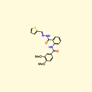 COc1ccc(C(=O)Nc2ccccc2C(=O)NN=Cc2cccs2)cc1OC